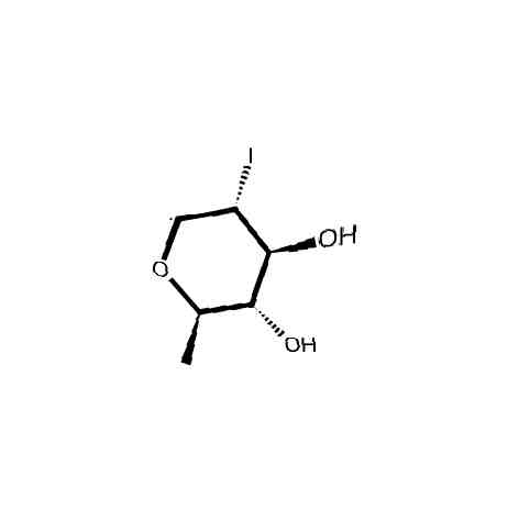 C[C@H]1O[CH][C@H](I)[C@@H](O)[C@@H]1O